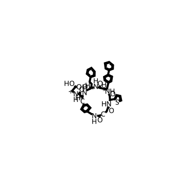 C[C@@H](NC(=O)[C@@H]1Cc2ccc(cc2)NC(=O)CCC(=O)NC(c2cccs2)C(=O)N[C@@H](Cc2ccc(-c3ccccc3)cc2)C(=O)N[C@H](CCc2ccccc2)C(=O)N1)C(=O)O